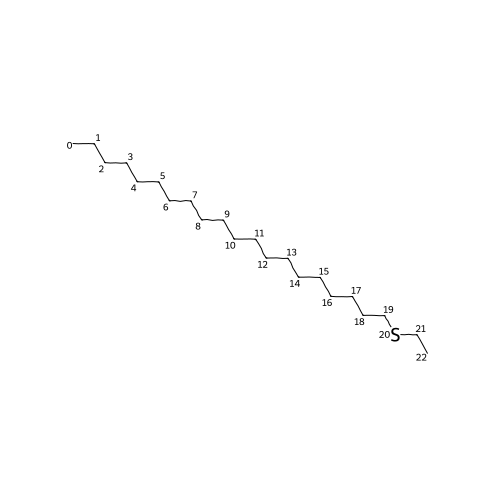 CCCCCCCCCCCCCCCCCCCCSCC